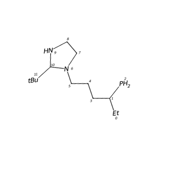 CCC(P)CCCN1CCNC1C(C)(C)C